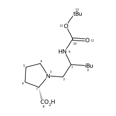 CCC(C)C(CN1CCC[C@H]1C(=O)O)NC(=O)OC(C)(C)C